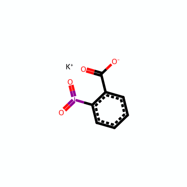 O=C([O-])c1ccccc1I(=O)=O.[K+]